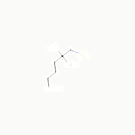 CCCCCCCCCCCC(CN)(CCCC)CCCC